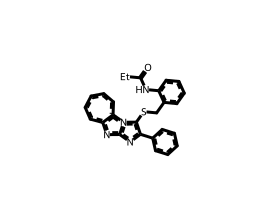 CCC(=O)Nc1ccccc1CSc1c(-c2ccccc2)nc2nc3cccccc3n12